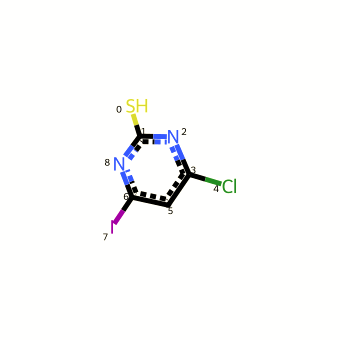 Sc1nc(Cl)cc(I)n1